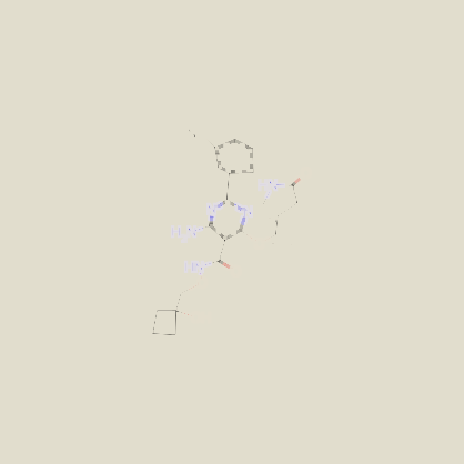 C[C@H](Oc1nc(-c2cccc(C#N)c2)nc(N)c1C(=O)NOCC1(O)CCC1)[C@@H]1CNC(=O)C1